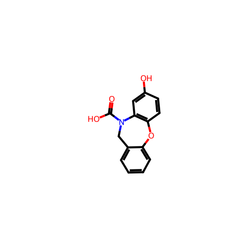 O=C(O)N1Cc2ccccc2Oc2ccc(O)cc21